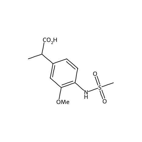 COc1cc(C(C)C(=O)O)ccc1NS(C)(=O)=O